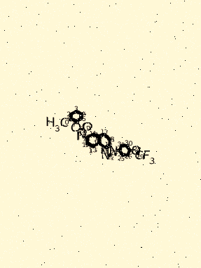 Cc1ccccc1OC(=O)/N=C1/C=CC2C(=C1)C=Cc1c2ncn1-c1ccc(OC(F)(F)F)cc1